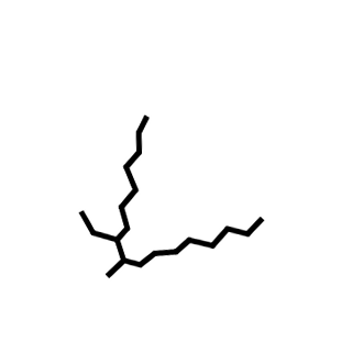 CCCCCCCCC(C)C(CC)CCCCCCC